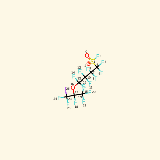 O=S(=O)(F)C(F)(F)C(F)(F)C(F)(F)C(F)(F)OC(F)(C(F)(F)F)C(F)(F)I